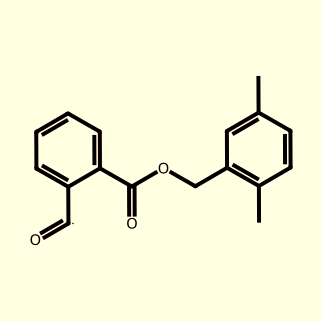 Cc1ccc(C)c(COC(=O)c2ccccc2[C]=O)c1